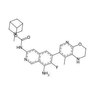 Cc1c(-c2cc3cc(NC(=O)OC4C5CC4CN(C)C5)ncc3c(N)c2F)cnc2c1NCCO2